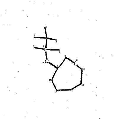 CC(C)(C)[Si](C)(C)OC1CCC[CH]CCC1